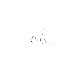 CC(C)c1ccc([C@](O)(c2cncc(CC(F)(F)CO)c2)C2(C)CNC2)cc1